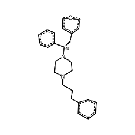 c1ccc(CCCN2CCN([C@H](Cc3ccccc3)c3ccccc3)CC2)cc1